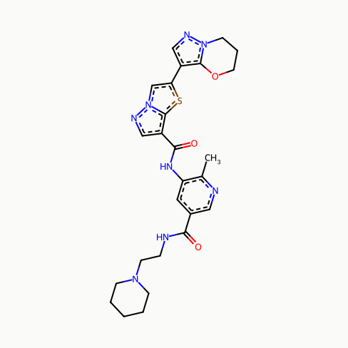 Cc1ncc(C(=O)NCCN2CCCCC2)cc1NC(=O)c1cnn2cc(-c3cnn4c3OCCC4)sc12